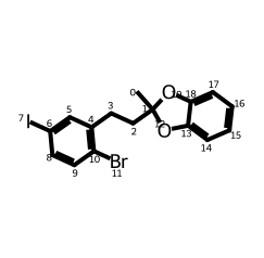 CC1(CCc2cc(I)ccc2Br)Oc2ccccc2O1